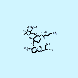 CN[C@@H]1[C@@H](O)[C@@H](O[C@@H]2[C@@H](O)[C@H](O[C@H]3OC(CNCC(C)CO)=CC[C@H]3N)[C@@H](N)C[C@H]2NC(=O)[C@@H](O)CCN)OC[C@]1(C)O